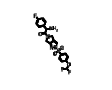 NC(C(=O)N1Cc2cn(S(=O)(=O)c3ccc(OC(F)F)cc3)nc2C1)c1ccc(F)cc1